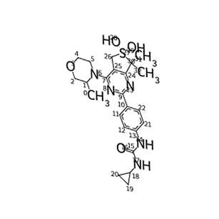 CC1COCCN1c1nc(-c2ccc(NC(=O)NC3CC3)cc2)nc2c1CS(O)(O)C2(C)C